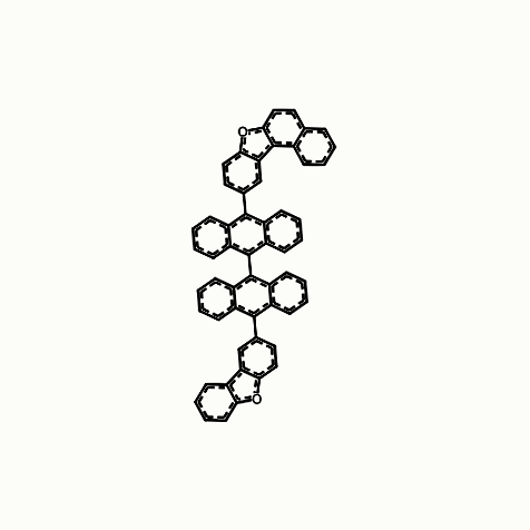 c1ccc2c(c1)ccc1oc3ccc(-c4c5ccccc5c(-c5c6ccccc6c(-c6ccc7oc8ccccc8c7c6)c6ccccc56)c5ccccc45)cc3c12